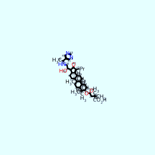 CC(C)C1=C2C(CC[C@]3(C)[C@@H]2CC[C@@H]2[C@@]4(C)CC[C@H](OC(=O)CC(C)(C)C(=O)O)C(C)(C)[C@@H]4CC[C@]23C)C([C@@H](O)CN[C@@H](C)c2cncnc2)C1=O